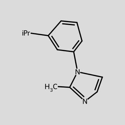 Cc1nccn1-c1cccc(C(C)C)c1